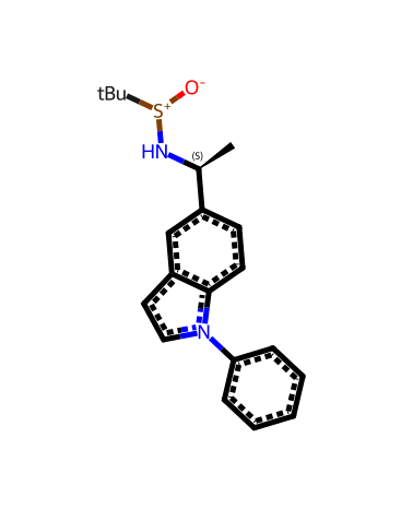 C[C@H](N[S+]([O-])C(C)(C)C)c1ccc2c(ccn2-c2ccccc2)c1